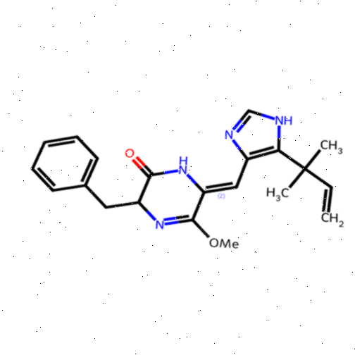 C=CC(C)(C)c1[nH]cnc1/C=C1\NC(=O)C(Cc2ccccc2)N=C1OC